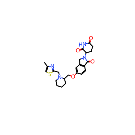 Cc1csc(CN2CCCCC2COc2ccc3c(c2)CN(C2CCC(=O)NC2=O)C3=O)n1